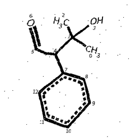 CC(C)(O)C(C=O)c1ccccc1